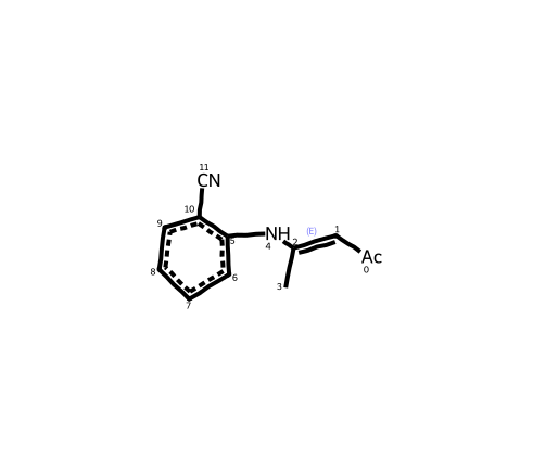 CC(=O)/C=C(\C)Nc1ccccc1C#N